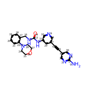 Nc1ncc(C#Cc2cncc(NC(=O)NCc3ccccc3N3CCOCC3)c2)cn1